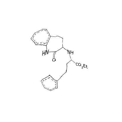 CCOC(=O)C(CCc1ccccc1)NC1CCc2ccccc2NC1=O